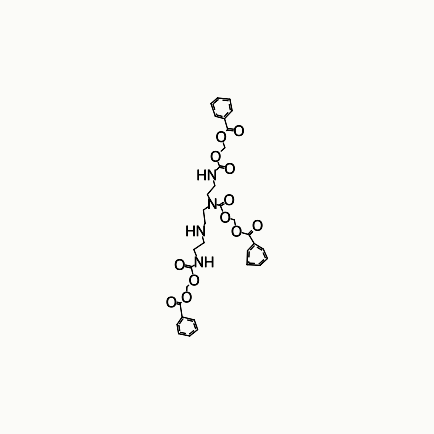 O=C(NCCNCCN(CCNC(=O)OCOC(=O)c1ccccc1)C(=O)OCOC(=O)c1ccccc1)OCOC(=O)c1ccccc1